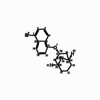 Brc1cccc2c(O[C@@H]3C[C@H]4CCC[C@@H](C3)N4)cccc12